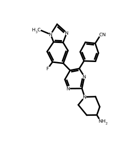 Cn1cnc2cc(-c3cnc(N4CCC(N)CC4)nc3-c3ccc(C#N)cc3)c(F)cc21